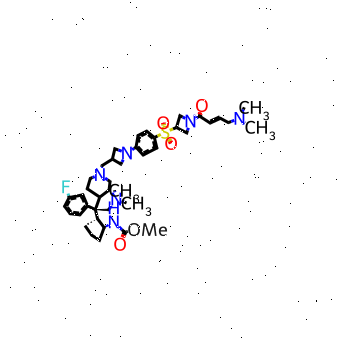 COC(=O)N[C@H]1CCC[C@@H]1[C@](CN(C)C)(c1cccc(F)c1)C1CCN(CC2CN(c3ccc(S(=O)(=O)C4CN(C(=O)/C=C/CN(C)C)C4)cc3)C2)CC1